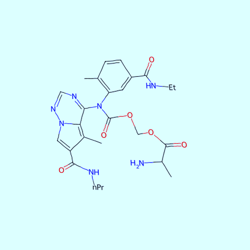 CCCNC(=O)c1cn2ncnc(N(C(=O)OCOC(=O)C(C)N)c3cc(C(=O)NCC)ccc3C)c2c1C